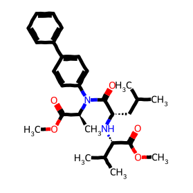 COC(=O)[C@@H](N[C@@H](CC(C)C)C(=O)N(c1ccc(-c2ccccc2)cc1)[C@@H](C)C(=O)OC)C(C)C